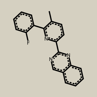 Cc1ccc(-c2ncc3ccccc3n2)nc1-c1ccccc1F